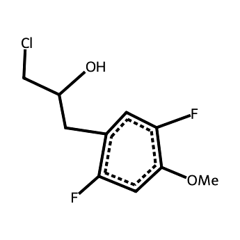 COc1cc(F)c(CC(O)CCl)cc1F